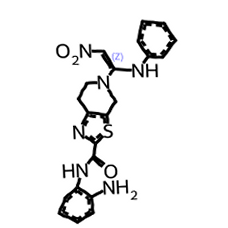 Nc1ccccc1NC(=O)c1nc2c(s1)CN(/C(=C\[N+](=O)[O-])Nc1ccccc1)CC2